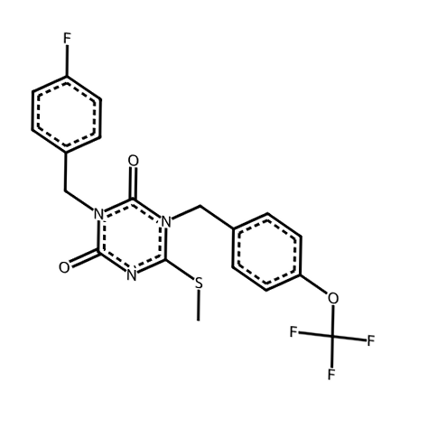 CSc1nc(=O)n(Cc2ccc(F)cc2)c(=O)n1Cc1ccc(OC(F)(F)F)cc1